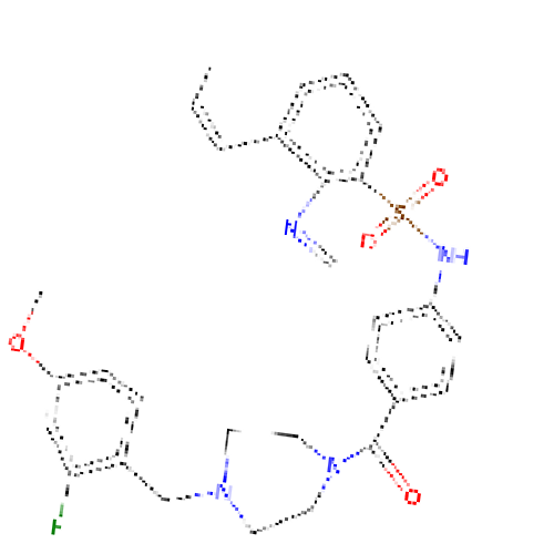 C=Nc1c(/C=C\C)cccc1S(=O)(=O)Nc1ccc(C(=O)N2CCN(Cc3ccc(OC)cc3F)CC2)cc1